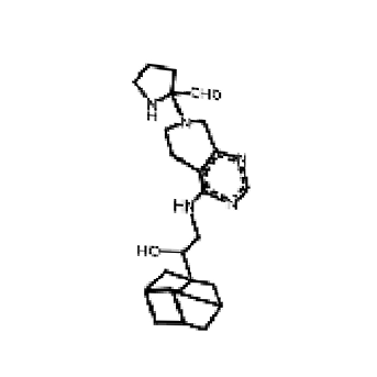 O=CC1(N2CCc3c(ncnc3NCC(O)C34CC5CC(CC(C5)C3)C4)C2)CCCN1